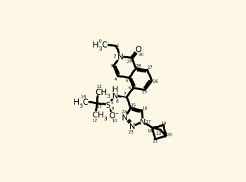 CCn1ccc2c([C@H](N[S@@+]([O-])C(C)(C)C)c3cn(C45CC(C4)C5)nn3)cccc2c1=O